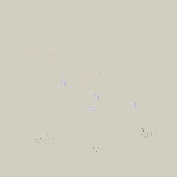 COc1cc(OC)cc(-c2nn(-c3cc(N4CC[C@@H](NC(C)=O)C4)ccc3C(F)(F)F)c(=O)c3c2ccn3CCOC2CCCCO2)c1